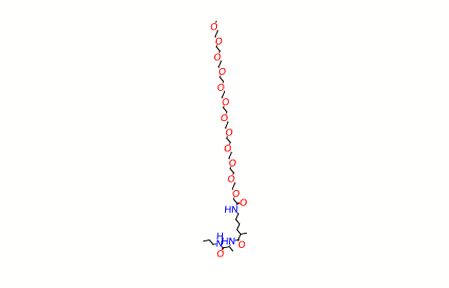 CCCNC(=O)C(C)NC(=O)C(C)CCCCNC(=O)COCCOCCOCCOCCOCCOCCOCCOCCOCCOCCOCCOC